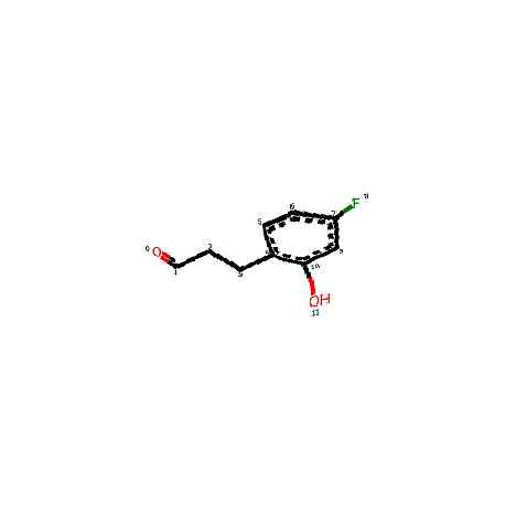 O=CCCc1ccc(F)cc1O